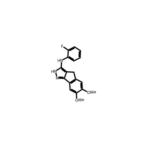 COc1cc2c(cc1OC)-c1n[nH]c(Nc3ccccc3F)c1C2